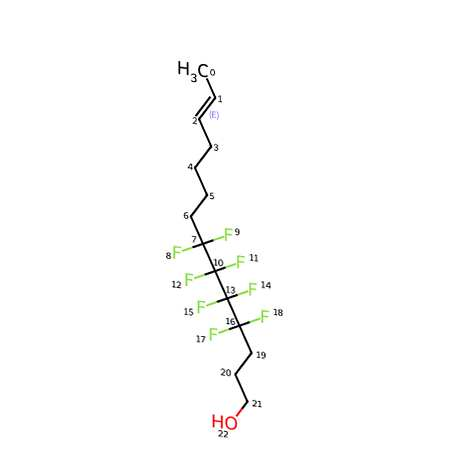 C/C=C/CCCCC(F)(F)C(F)(F)C(F)(F)C(F)(F)CCCO